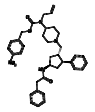 C=CCN(C(=O)OCc1ccc([N+](=O)[O-])cc1)C1CCN(C[C@H]2C[C@H](NC(=O)Cc3ccccc3)C[C@@H]2c2ccccc2)CC1